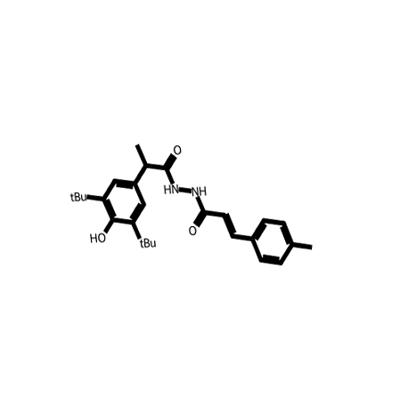 Cc1ccc(/C=C/C(=O)NNC(=O)C(C)c2cc(C(C)(C)C)c(O)c(C(C)(C)C)c2)cc1